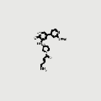 COc1cc(-c2c[nH]c(=O)c(N[C@H]3CCN(C(=O)C=CCN)C3)c2)ccn1